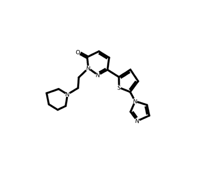 O=c1ccc(-c2ccc(-n3ccnc3)s2)nn1CCN1CCCCC1